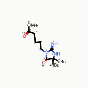 CCCCC1(CCCC)NC(=N)N(CCCCC(=O)OC)C1=O